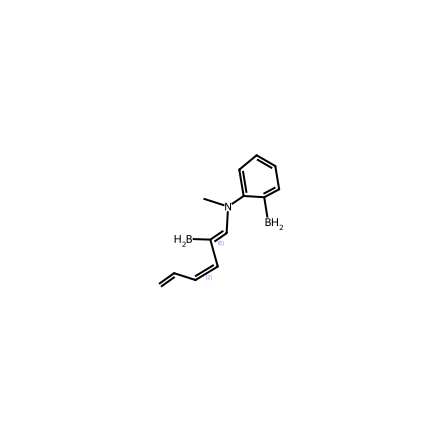 BC(/C=C\C=C)=C\N(C)c1ccccc1B